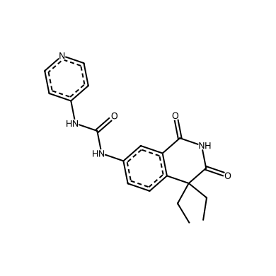 CCC1(CC)C(=O)NC(=O)c2cc(NC(=O)Nc3ccncc3)ccc21